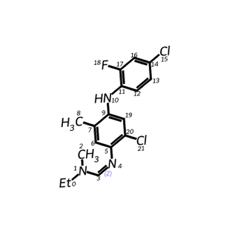 CCN(C)/C=N\c1cc(C)c(Nc2ccc(Cl)cc2F)cc1Cl